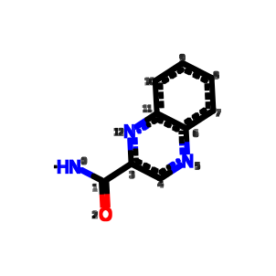 [NH]C(=O)c1cnc2ccccc2n1